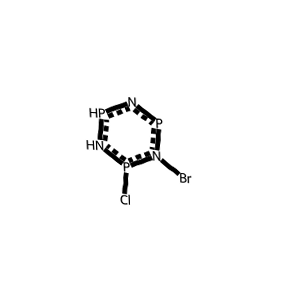 Clp1[nH][pH]npn1Br